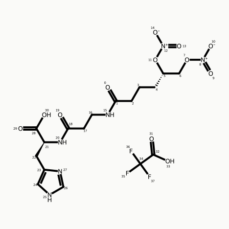 O=C(CCC[C@@H](CO[N+](=O)[O-])O[N+](=O)[O-])NCCC(=O)N[C@@H](Cc1c[nH]cn1)C(=O)O.O=C(O)C(F)(F)F